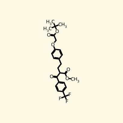 COC(=O)C(CCc1ccc(OCC(=O)OC(C)(C)C)cc1)C(=O)c1ccc(C(F)(F)F)cc1